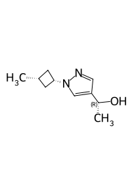 C[C@@H](O)c1cnn([C@H]2C[C@@H](C)C2)c1